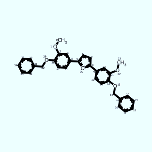 COc1cc(-c2ccc(-c3ccc(OCc4ccccc4)c(OC)c3)o2)ccc1OCc1ccccc1